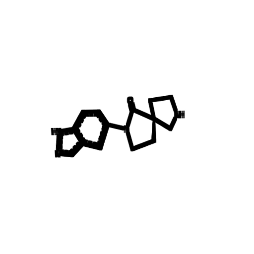 O=C1N(c2ccc3[nH]ncc3c2)CC[C@]12CCNC2